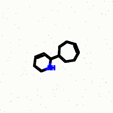 C1=CC(C2CCC=CCC2)NCC1